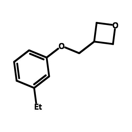 CCc1cccc(OCC2COC2)c1